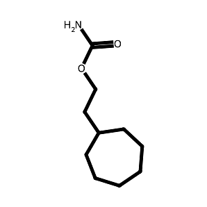 NC(=O)OCCC1CCCCCC1